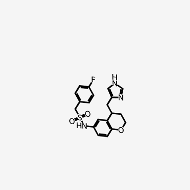 O=S(=O)(Cc1ccc(F)cc1)Nc1ccc2c(c1)C(Cc1c[nH]cn1)CCO2